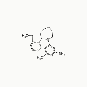 CCc1ccccc1C1CCCCCN1c1cc(C)nc(N)n1